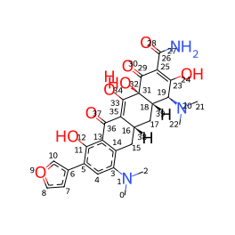 CN(C)c1cc(-c2ccoc2)c(O)c2c1C[C@H]1C[C@H]3[C@H](N(C)C)C(O)=C(C(N)=O)C(=O)[C@@]3(O)C(O)=C1C2=O